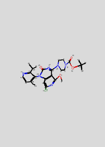 COc1nc(Cl)cc2c1c(N1CCN(C(=O)OC(C)(C)C)CC1)nc(=O)n2-c1c(C)ccnc1C(C)C